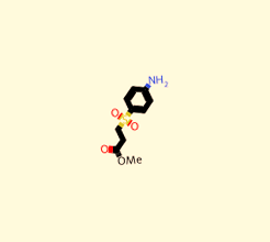 COC(=O)CCS(=O)(=O)c1ccc(N)cc1